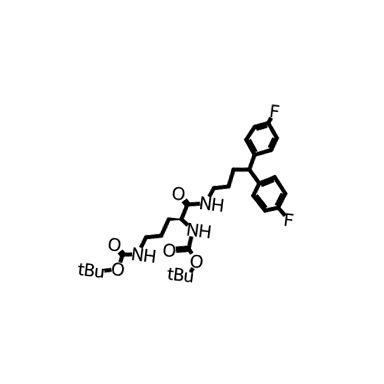 CC(C)(C)OC(=O)NCCC[C@H](NC(=O)OC(C)(C)C)C(=O)NCCCC(c1ccc(F)cc1)c1ccc(F)cc1